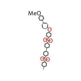 COc1ccc(C2=CC=C(Oc3ccc(S(=O)(=O)c4ccc(-c5ccc(S(=O)(=O)c6ccc(C)cc6)cc5)cc4)cc3)CC=C2)cc1